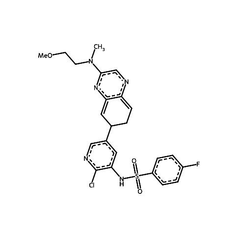 COCCN(C)c1cnc2c(n1)=CC(c1cnc(Cl)c(NS(=O)(=O)c3ccc(F)cc3)c1)CC=2